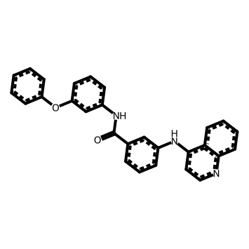 O=C(Nc1cccc(Oc2ccccc2)c1)c1cccc(Nc2ccnc3ccccc23)c1